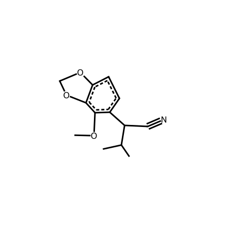 COc1c(C(C#N)C(C)C)ccc2c1OCO2